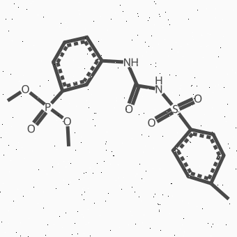 COP(=O)(OC)c1cccc(NC(=O)NS(=O)(=O)c2ccc(C)cc2)c1